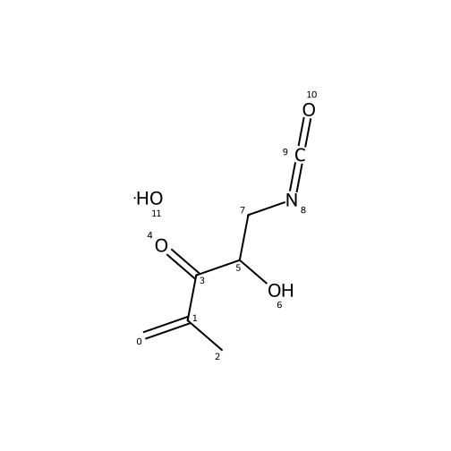 C=C(C)C(=O)C(O)CN=C=O.[OH]